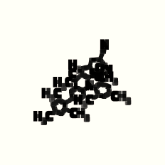 Cc1cc(C)c(-c2ccc3c(c2)C(C)(C)C2=C(N3c3c(C)cc(C)cc3C)S(=O)(=O)C(C=C(C#N)C#N)=C2)c(C)c1